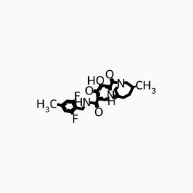 Cc1cc(F)c(CNC(=O)c2cn3c(c(O)c2=O)C(=O)N2C[C@@H](C)CC[C@H]3C2)c(F)c1